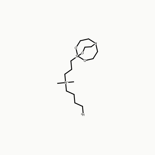 [2H]CCCC[N+](C)(C)CCC[Si]12OCCN(CCO1)CCO2